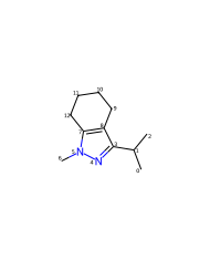 CC(C)c1nn(C)c2c1CCCC2